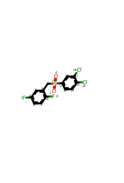 O=S(=O)(Cc1cc(F)ccc1F)c1ccc(Cl)c(Cl)c1